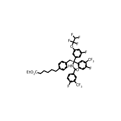 CCOC(=O)CCCCCc1ccc(C[C@@](NC(=O)c2ccc(F)c(C(F)(F)F)c2)(c2cc(F)cc(OC(F)(F)C(F)F)c2)c2ccc(F)c(C(F)(F)F)c2)cc1